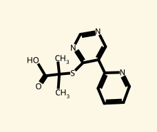 CC(C)(Sc1ncncc1-c1ccccn1)C(=O)O